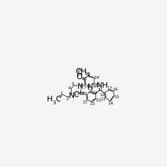 CCCN1CCN(c2nc(NC(c3ccccc3)c3ccccc3)ccc2OC)CC1